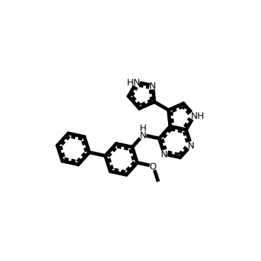 COc1ccc(-c2ccccc2)cc1Nc1ncnc2[nH]cc(-c3cc[nH]n3)c12